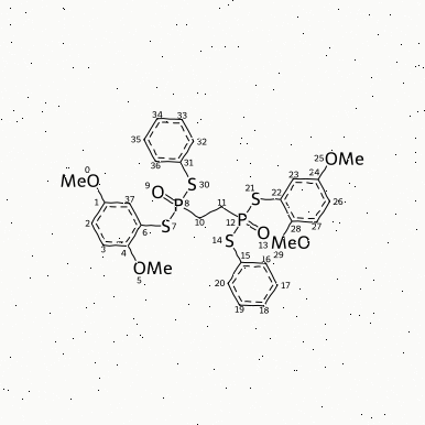 COc1ccc(OC)c(SP(=O)(CCP(=O)(Sc2ccccc2)Sc2cc(OC)ccc2OC)Sc2ccccc2)c1